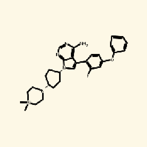 C[N+]1(C)CCN([C@H]2CC[C@@H](n3cc(-c4ccc(Oc5ccccc5)cc4F)c4c(N)ncnc43)CC2)CC1